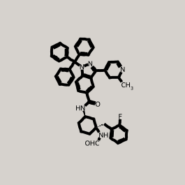 CC1CC(c2nn(C(c3ccccc3)(c3ccccc3)c3ccccc3)c3ccc(C(=O)N[C@@H]4CCC[C@](Cc5ccccc5F)(NC=O)C4)cc23)=CC=N1